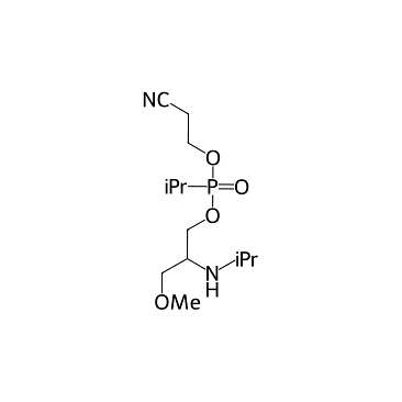 COCC(COP(=O)(OCCC#N)C(C)C)NC(C)C